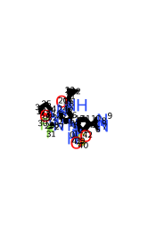 CN(c1cc(-c2cnn(C)c2)ccc1Nc1cc(NC(=O)C2CC2)nc2c1nc(C(F)F)n2C1CCCCO1)S(C)(=O)=O